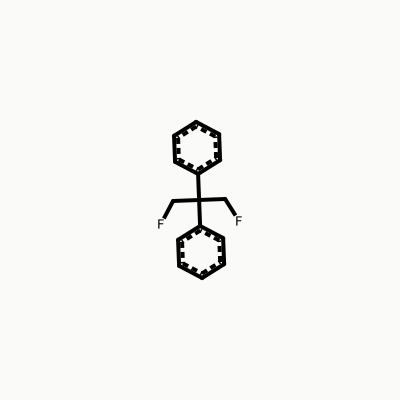 FCC(CF)(c1ccccc1)c1ccccc1